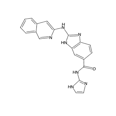 O=C(Nc1ncc[nH]1)c1ccc2nc(Nc3cc4ccccc4cn3)[nH]c2c1